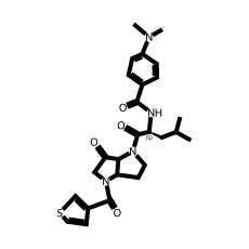 CC(C)C[C@H](NC(=O)c1ccc(N(C)C)cc1)C(=O)N1CCC2C1C(=O)CN2C(=O)c1ccsc1